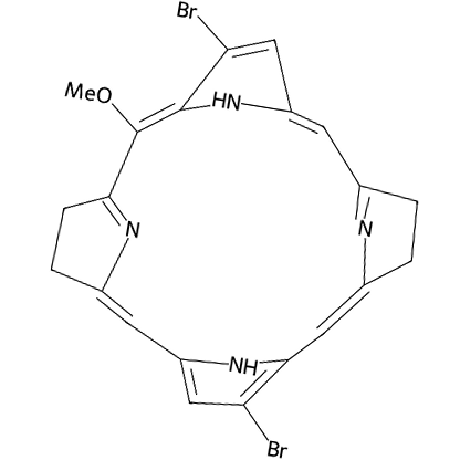 COc1c2nc(cc3cc(Br)c(cc4nc(cc5cc(Br)c1[nH]5)CC4)[nH]3)CC2